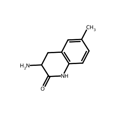 Cc1ccc2c(c1)CC(N)C(=O)N2